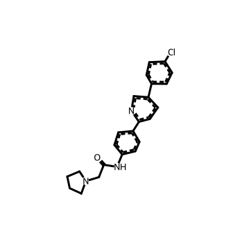 O=C(CN1CCCC1)Nc1ccc(-c2ccc(-c3ccc(Cl)cc3)cn2)cc1